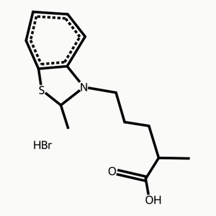 Br.CC(CCCN1c2ccccc2SC1C)C(=O)O